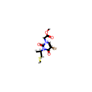 COC(=O)Cn1cc(Br)c(=O)n(C(C)CSC)c1=O